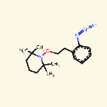 CC1(C)CCCC(C)(C)N1OCCc1ccccc1N=[N+]=[N-]